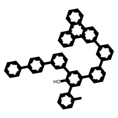 Cc1ccccc1-c1cc(-c2cccc(-c3cccc(-c4ccc5c6ccccc6c6ccccc6c5c4)c3)c2)cc(-c2cccc(-c3ccc(-c4ccccc4)cc3)c2)c1O